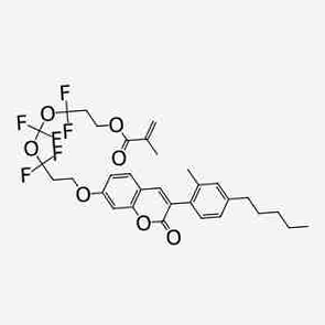 C=C(C)C(=O)OCCC(F)(F)OC(F)(F)OC(F)(F)CCOc1ccc2cc(-c3ccc(CCCCC)cc3C)c(=O)oc2c1